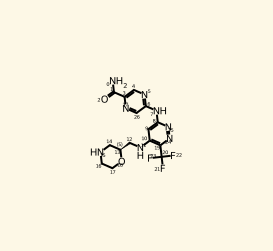 NC(=O)c1cnc(Nc2cc(NC[C@@H]3CNCCO3)c(C(F)(F)F)nn2)cn1